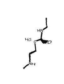 CCNC(=O)OCCNC.Cl